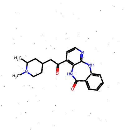 CC1CC(CC(=O)c2ccnc3c2NC(=O)c2ccccc2N3)CCN1C